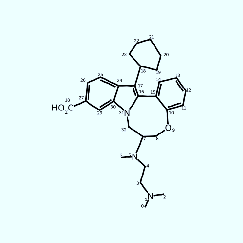 CN(C)CCN(C)C1COc2ccccc2-c2c(C3CCCCC3)c3ccc(C(=O)O)cc3n2C1